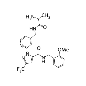 COc1ccccc1CNC(=O)c1cc(C(F)(F)F)nn1-c1cc(CNC(=O)C(C)N)ccn1